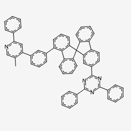 Cc1cnc(-c2ccccc2)cc1-c1cccc(-c2cccc3c2-c2ccccc2C32c3ccccc3-c3ccc(-c4nc(-c5ccccc5)nc(-c5ccccc5)n4)cc32)c1